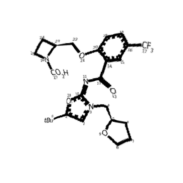 CC(C)(C)c1cn(C[C@H]2CCCO2)c(=NC(=O)c2cc(C(F)(F)F)ccc2OC[C@@H]2CCN2C(=O)O)o1